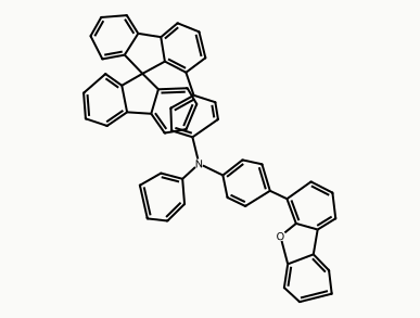 c1ccc(N(c2ccc(-c3cccc4c3C3(c5ccccc5-c5ccccc53)c3ccccc3-4)cc2)c2ccc(-c3cccc4c3oc3ccccc34)cc2)cc1